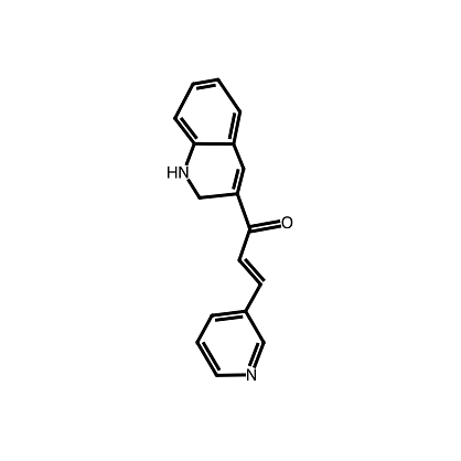 O=C(/C=C/c1cccnc1)C1=Cc2ccccc2NC1